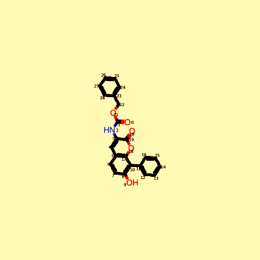 O=C(Nc1cc2ccc(O)c(-c3ccccc3)c2oc1=O)OCc1ccccc1